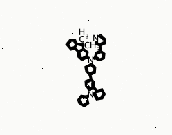 CC1(C)c2ccccc2C2=CC=C(N(c3ccc(-c4ccc5c(c4)c4ccccc4n5-c4ccccc4)cc3)c3cccc(-c4cccnc4)c3)CC21